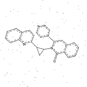 O=c1c2ccccc2cc(-c2ccncc2)n1C1CC1c1ccc2ccccc2n1